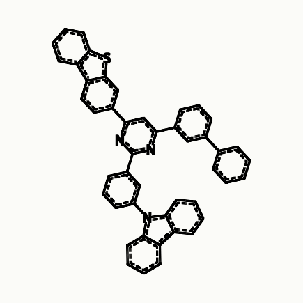 c1ccc(-c2cccc(-c3cc(-c4ccc5c(c4)sc4ccccc45)nc(-c4cccc(-n5c6ccccc6c6ccccc65)c4)n3)c2)cc1